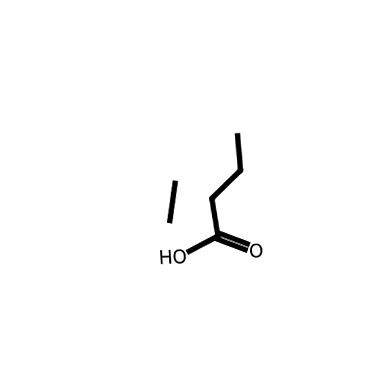 CC.CCCC(=O)O